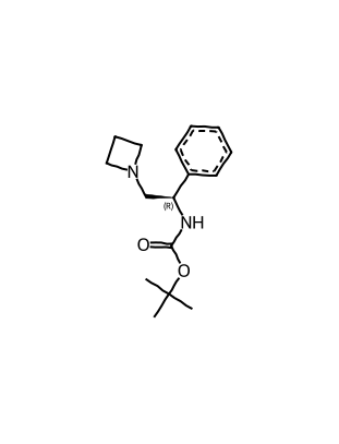 CC(C)(C)OC(=O)N[C@@H](CN1CCC1)c1ccccc1